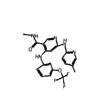 CNC(=O)c1cnc(Nc2ccc(C)cn2)cc1Nc1cccc(OC(F)(F)F)c1